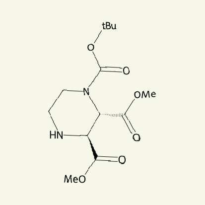 COC(=O)[C@H]1NCCN(C(=O)OC(C)(C)C)[C@@H]1C(=O)OC